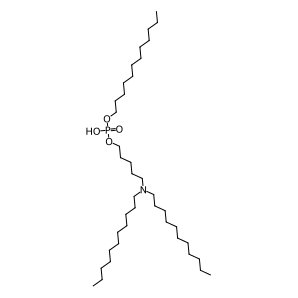 CCCCCCCCCCCCOP(=O)(O)OCCCCCN(CCCCCCCCCCC)CCCCCCCCCCC